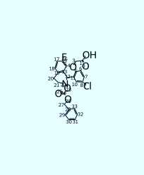 O=C(O)COc1ccc(Cl)cc1C1c2cc(F)ccc2CCN1OC(=O)OCc1ccccc1